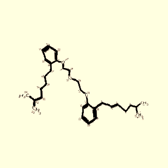 CC(C)CCCCCc1ccccc1OCCOCCOc1ccccc1CCCCCC(C)C